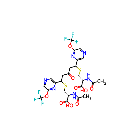 CC(=O)N[C@@H](CSC(CC(=O)CC(SC[C@H](NC(C)=O)C(=O)O)c1cncc(OC(F)(F)F)n1)c1cncc(OC(F)(F)F)n1)C(=O)O